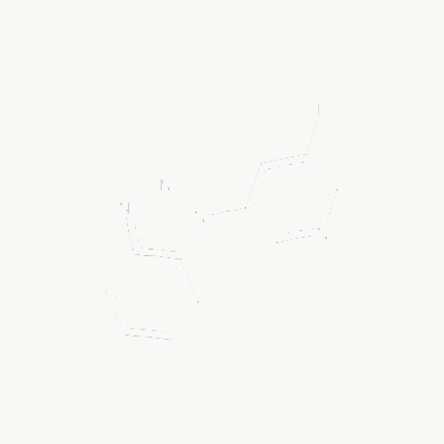 Fc1cncc(-n2nnc3ccccc32)c1